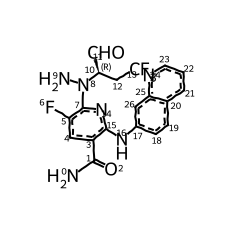 NC(=O)c1cc(F)c(N(N)[C@@H](C=O)CC(F)(F)F)nc1Nc1ccc2cccnc2c1